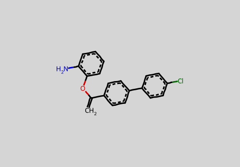 C=C(Oc1ccccc1N)c1ccc(-c2ccc(Cl)cc2)cc1